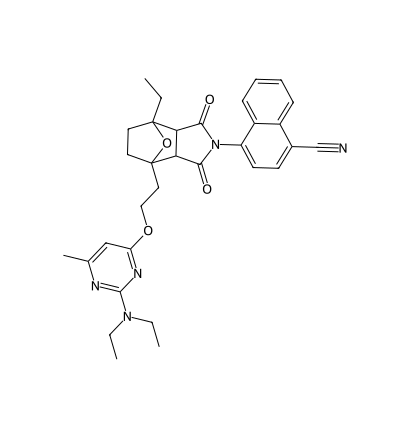 CCN(CC)c1nc(C)cc(OCCC23CCC(CC)(O2)C2C(=O)N(c4ccc(C#N)c5ccccc45)C(=O)C23)n1